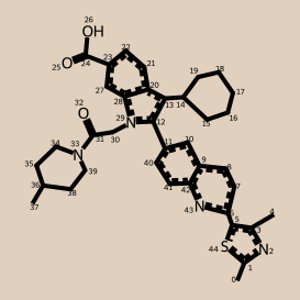 Cc1nc(C)c(-c2ccc3cc(-c4c(C5CCCCC5)c5ccc(C(=O)O)cc5n4CC(=O)N4CCC(C)CC4)ccc3n2)s1